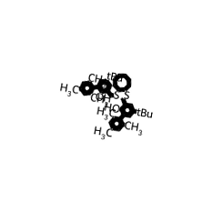 Cc1cc(C)c(-c2cc(C(C)(C)C)cc(CSC3CCCCCCC3SCc3cc(C(C)(C)C)cc(-c4c(C)cc(C)cc4C)c3O)c2O)c(C)c1